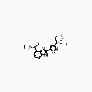 CCC(C)c1cc(-c2nc3c(C(N)=O)cccc3[nH]2)on1